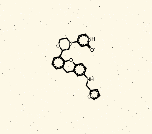 O=c1cc(N2CCOC(c3cccc4c3Oc3ccc(NCc5ccco5)cc3C4)C2)cc[nH]1